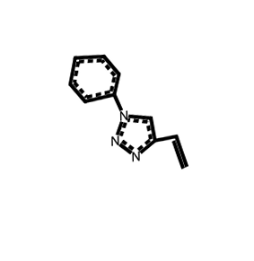 C=Cc1cn(-c2ccccc2)nn1